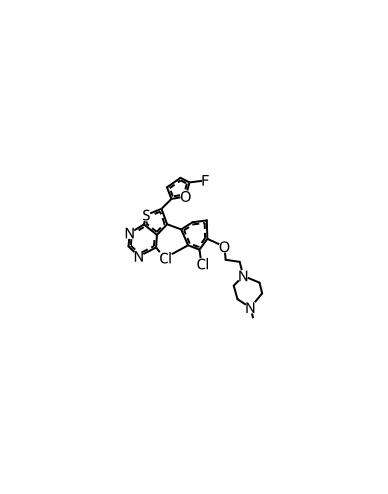 Cc1c(-c2c(-c3ccc(F)o3)sc3ncnc(Cl)c23)ccc(OCCN2CCN(C)CC2)c1Cl